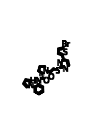 O=C(Nc1ccccc1-n1cccc1)[C@@H]1CCCN1C(=O)CSc1nccc(-c2ccc(Br)s2)n1